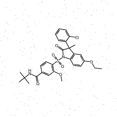 CCOc1ccc2c(c1)C(C)(c1ccccc1Cl)C(=O)N2S(=O)(=O)c1ccc(C(=O)NC(C)(C)C)cc1OC